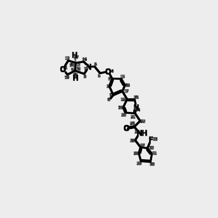 Cc1cc(OCCN2C[C@H]3COC[C@H]3C2)ccc1-c1ccc(CC(=O)NCc2ccccc2F)nc1